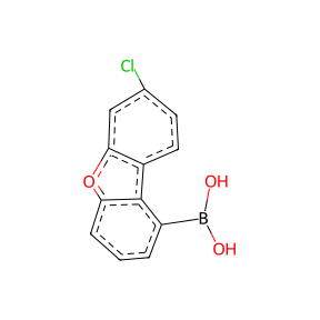 OB(O)c1cccc2oc3cc(Cl)ccc3c12